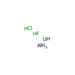 Cl.F.[AlH3].[LiH]